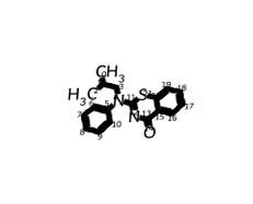 CC(C)CN(c1ccccc1)c1nc(=O)c2ccccc2s1